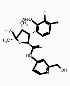 COc1c([C@@H]2[C@@H](C(=O)Nc3ccnc(CO)c3)O[C@](C)(C(F)(F)F)[C@@H]2C)ccc(F)c1F